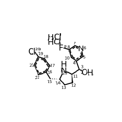 Cl.Cl.O[C@H](c1cncc(F)c1)[C@H]1CC[C@H](Cc2ccc(Cl)cc2)N1